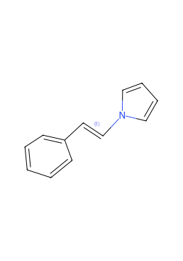 C(=C\n1cccc1)/c1ccccc1